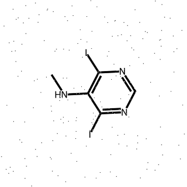 CNc1c(I)ncnc1I